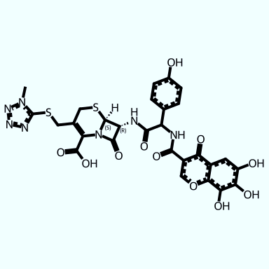 Cn1nnnc1SCC1=C(C(=O)O)N2C(=O)[C@@H](NC(=O)C(NC(=O)c3coc4c(O)c(O)c(O)cc4c3=O)c3ccc(O)cc3)[C@@H]2SC1